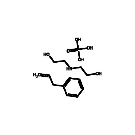 C=CCc1ccccc1.O=P(O)(O)O.OCCNCCO